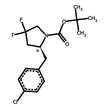 CC(C)(C)OC(=O)N1CC(F)(F)C[C@@H]1Cc1ccc(Cl)cc1